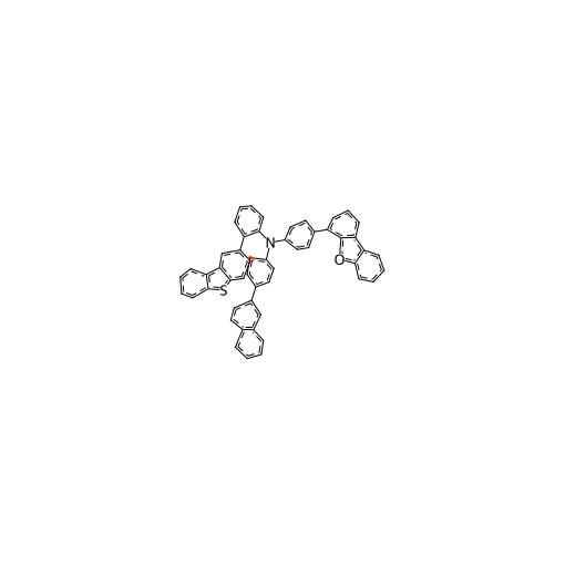 c1ccc(N(c2ccc(-c3ccc4ccccc4c3)cc2)c2ccc(-c3cccc4c3oc3ccccc34)cc2)c(-c2ccc3sc4ccccc4c3c2)c1